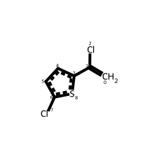 C=C(Cl)c1ccc(Cl)s1